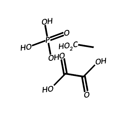 CC(=O)O.O=C(O)C(=O)O.O=P(O)(O)O